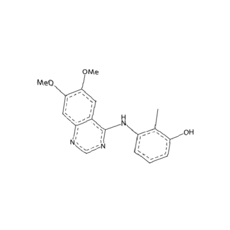 COc1cc2ncnc(Nc3cccc(O)c3C)c2cc1OC